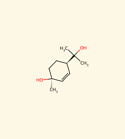 CC(C)(O)[C@H]1C=C[C@@](C)(O)CC1